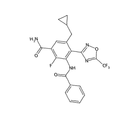 NC(=O)c1cc(CC2CC2)c(-c2noc(C(F)(F)F)n2)c(NC(=O)c2ccccc2)c1F